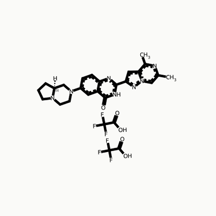 Cc1cn2nc(-c3nc4ccc(N5CCN6CCC[C@H]6C5)cc4c(=O)[nH]3)cc2c(C)n1.O=C(O)C(F)(F)F.O=C(O)C(F)(F)F